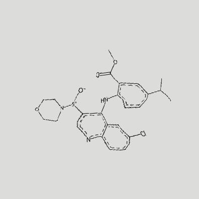 COC(=O)c1cc(C(C)C)ccc1Nc1c([S+]([O-])N2CCOCC2)cnc2ccc(Cl)cc12